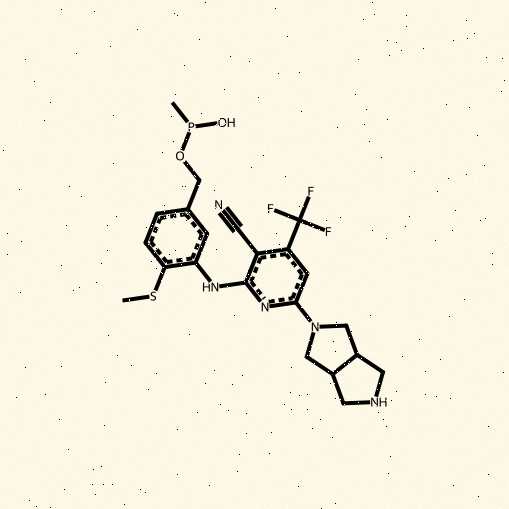 CSc1ccc(COP(C)O)cc1Nc1nc(N2CC3CNCC3C2)cc(C(F)(F)F)c1C#N